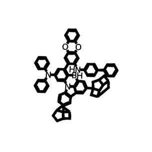 B1c2c(-c3cc4c(cc3Nc3ccc(-c5ccccc5)cc3)Oc3ccccc3O4)cc(N(c3ccccc3)c3ccccc3)cc2-n2c3ccc(C45C6CCC4CC5C6)cc3c3cc(C45CC6CC7CC(C4)C5C76)cc1c32